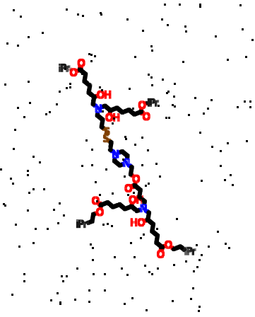 CC(C)CCOC(=O)CCCCC(O)CN(CCCC(=O)OCCN1CCN(CCSSCCCN(CC(O)CCCCC(=O)OC(C)C)CC(O)CCCCC(=O)OC(C)C)CC1)CC(O)CCCCC(=O)OCCC(C)C